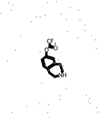 O=C(Oc1ccc2c(c1)CCNCC2)C(F)(F)F